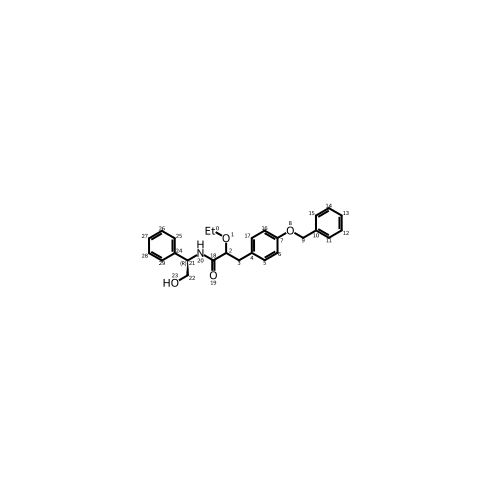 CCOC(Cc1ccc(OCc2ccccc2)cc1)C(=O)N[C@@H](CO)c1ccccc1